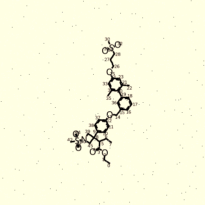 CCOC(=O)C(CC)C1(c2ccc(OCc3cccc(-c4c(C)cc(OCCCS(C)(=O)=O)cc4C)c3)cc2)CN(S(C)(=O)=O)C1